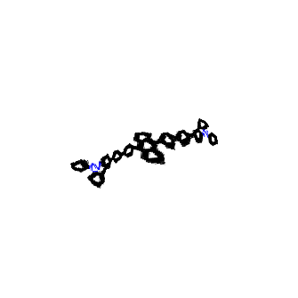 c1ccc(-n2c3ccccc3c3cc(-c4ccc(-c5ccc(-c6c7ccccc7c(-c7ccc(-c8ccc(-c9ccc%10c(c9)c9ccccc9n%10-c9ccccc9)cc8)cc7)c7ccccc67)cc5)cc4)ccc32)cc1